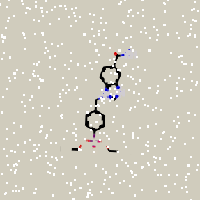 CCOP(=O)(OCC)c1ccc(Cn2cnc3cc(C(=O)NC)ccc32)cc1